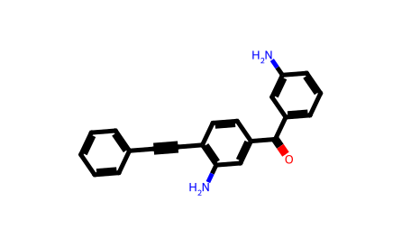 Nc1cccc(C(=O)c2ccc(C#Cc3ccccc3)c(N)c2)c1